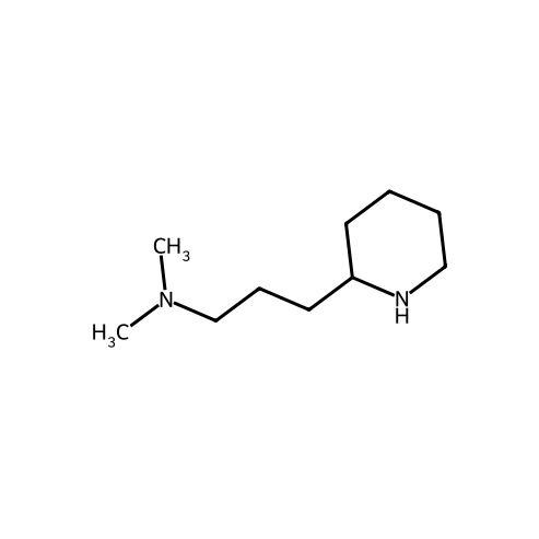 CN(C)CCCC1CCCCN1